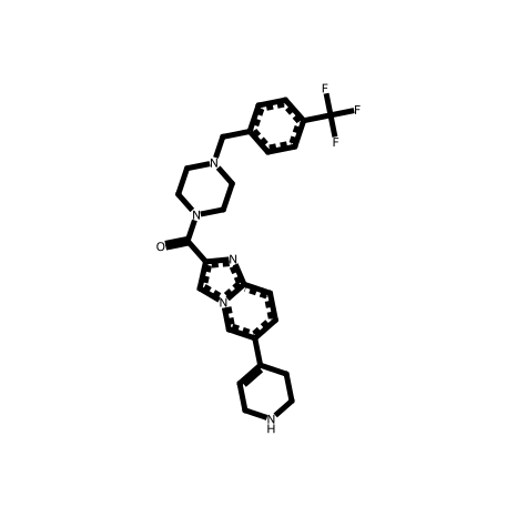 O=C(c1cn2cc(C3=CCNCC3)ccc2n1)N1CCN(Cc2ccc(C(F)(F)F)cc2)CC1